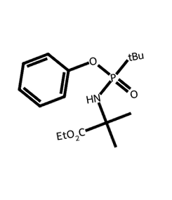 CCOC(=O)C(C)(C)NP(=O)(Oc1ccccc1)C(C)(C)C